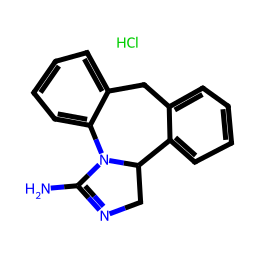 Cl.NC1=NCC2c3ccccc3Cc3ccccc3N12